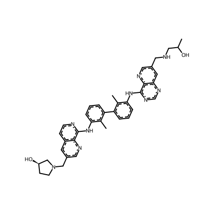 Cc1c(Nc2nccc3cc(CN4CC[C@@H](O)C4)cnc23)cccc1-c1cccc(Nc2ncnc3cc(CNCC(C)O)cnc23)c1C